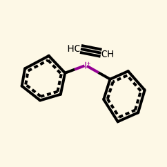 C#C.c1ccc([I+]c2ccccc2)cc1